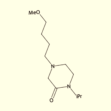 COCCCCN1CCN(C(C)C)C(=O)C1